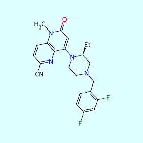 CC[C@H]1CN(Cc2ccc(F)cc2F)CCN1c1cc(=O)n(C)c2ccc(C#N)nc12